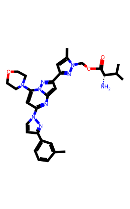 Cc1cccc(-c2ccn(-c3cc(N4CCOCC4)n4nc(-c5cc(C)n(COC(=O)[C@@H](N)C(C)C)n5)cc4n3)n2)c1